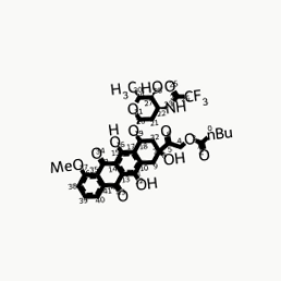 CCCCC(=O)OCC(=O)C1(O)Cc2c(O)c3c(c(O)c2C(O[C@H]2C[C@H](NC(=O)C(F)(F)F)[C@@H](O)[C@@H](C)O2)C1)C(=O)c1c(OC)cccc1C3=O